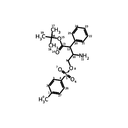 Cc1ccc(S(=O)(=O)OCC(N)C(C(=O)OC(C)(C)C)c2ccccc2)cc1